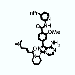 CCCc1ccnc(NC(=O)c2ccc(-c3nc([C@@H]4CCCCN4C(=O)/C=C/CN(C)C)n4ccnc(N)c34)cc2OC)c1